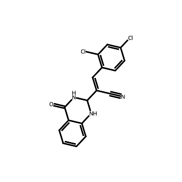 N#C/C(=C\c1ccc(Cl)cc1Cl)C1NC(=O)c2ccccc2N1